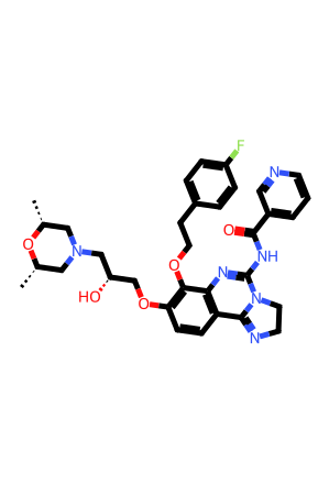 C[C@@H]1CN(C[C@@H](O)COc2ccc3c(c2OCCc2ccc(F)cc2)N=C(NC(=O)c2cccnc2)N2CCN=C32)C[C@H](C)O1